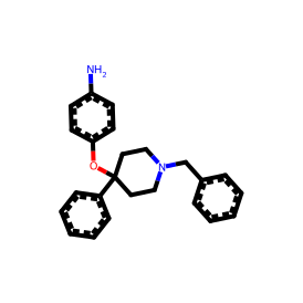 Nc1ccc(OC2(c3ccccc3)CCN(Cc3ccccc3)CC2)cc1